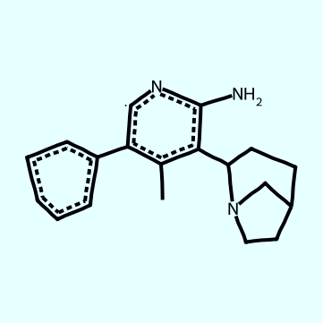 Cc1c(-c2ccccc2)[c]nc(N)c1C1CCC2CCN1C2